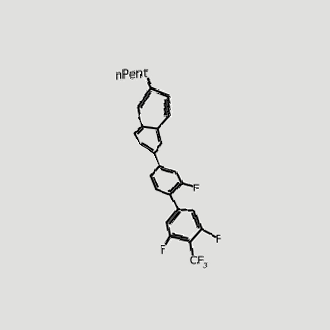 CCCCCc1ccc2cc(-c3ccc(-c4cc(F)c(C(F)(F)F)c(F)c4)c(F)c3)ccc2c1